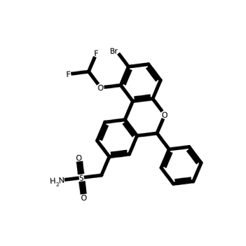 NS(=O)(=O)Cc1ccc2c(c1)C(c1ccccc1)Oc1ccc(Br)c(OC(F)F)c1-2